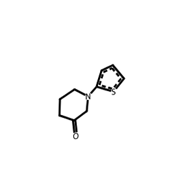 O=C1CCCN(c2cccs2)C1